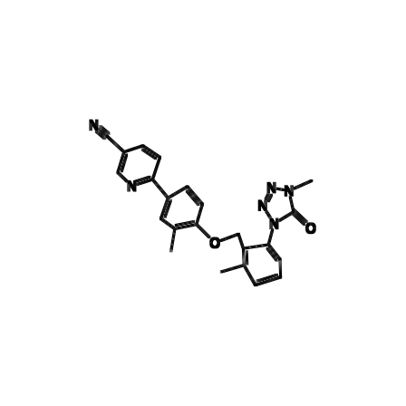 Cc1cc(-c2ccc(C#N)cn2)ccc1OCc1c(C)cccc1-n1nnn(C)c1=O